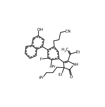 C=C(CC)C1=C(c2cc(CCCC#N)c(-c3cc(O)cc4ccccc34)c(F)c2CCC)C(CC)(CCCC(C)C)C(=O)N1